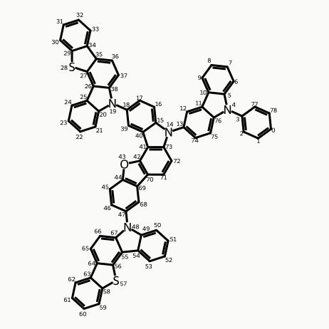 c1ccc(-n2c3ccccc3c3cc(-n4c5ccc(-n6c7ccccc7c7c8sc9ccccc9c8ccc76)cc5c5c6oc7ccc(-n8c9ccccc9c9c%10sc%11ccccc%11c%10ccc98)cc7c6ccc54)ccc32)cc1